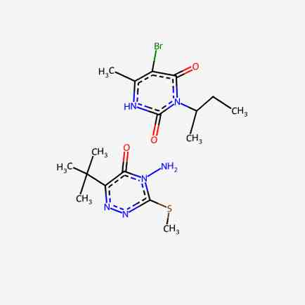 CCC(C)n1c(=O)[nH]c(C)c(Br)c1=O.CSc1nnc(C(C)(C)C)c(=O)n1N